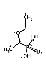 CCOC(C)P(=O)(O)O